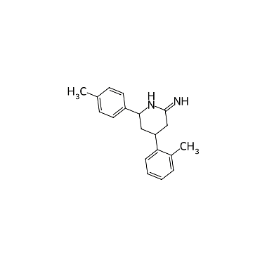 Cc1ccc(C2CC(c3ccccc3C)CC(=N)N2)cc1